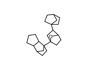 C1CC2C3CCC(C45CCC(O4)C(C46CCC(CC4)C6)C5)(C3)C2C1